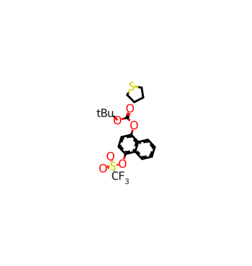 C1CCSC1.CC(C)(C)OC(=O)Oc1ccc(OS(=O)(=O)C(F)(F)F)c2ccccc12